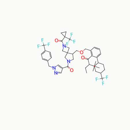 CCC(C(=O)c1c(COCC2CN(C(=O)c3cnn(Cc4ccc(C(F)(F)F)cc4)c3)CC23CN(C(=O)C2(C(F)(F)F)CC2)C3)cccc1C1CCC(C(F)(F)F)CC1)C(C)(C)C